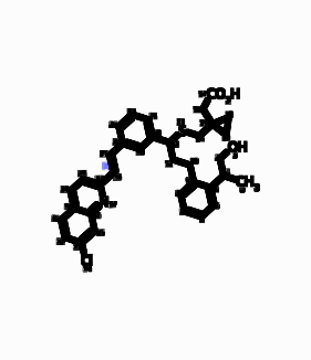 CC(CO)c1ccccc1CCC(SCC1(CC(=O)O)CC1)c1cccc(/C=C/c2ccc3ccc(Cl)cc3n2)c1